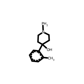 Cc1ccccc1C1(O)CCN(P)CC1